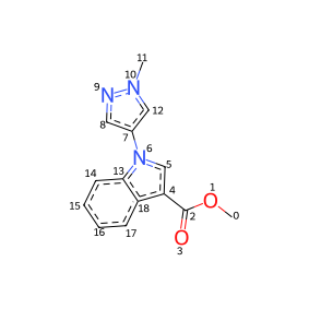 COC(=O)c1cn(-c2cnn(C)c2)c2ccccc12